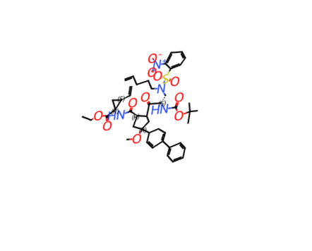 C=CCCCN(C[C@H](NC(=O)OC(C)(C)C)C(=O)C1C[C@](OC)(C2C=CC(c3ccccc3)=CC2)C[C@H]1C(=O)N[C@]1(C(=O)OCC)C[C@H]1C=C)S(=O)(=O)c1ccccc1[N+](=O)[O-]